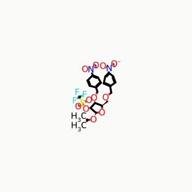 CC(C)O[C@H]1O[C@H](COCc2ccc([N+](=O)[O-])cc2)[C@@H](OCc2ccc([N+](=O)[O-])cc2)[C@@H]1OS(=O)(=O)C(F)(F)F